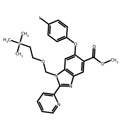 COC(=O)c1cc2nc(-c3ccccn3)n(COCC[Si](C)(C)C)c2cc1Oc1ccc(I)cc1